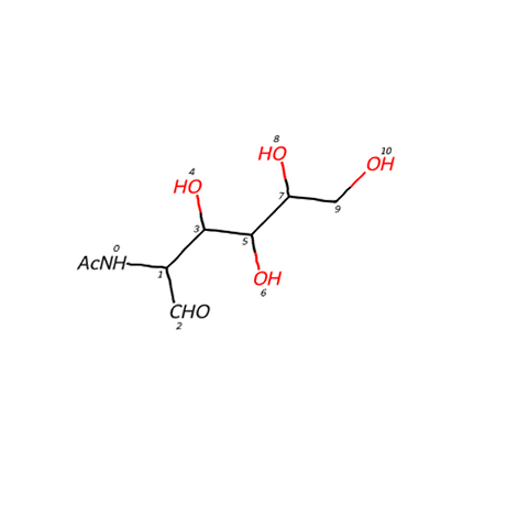 CC(=O)NC(C=O)C(O)C(O)C(O)CO